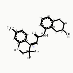 O=C(/C=C1\c2ccc(C(F)(F)F)cc2OCC1(F)F)Nc1cccc2c1CC(O)CC2